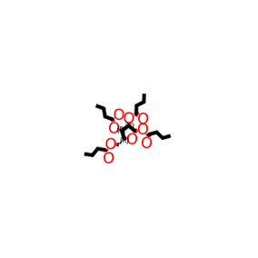 CCCC(=O)OC[C@H]1OC(OC(=O)CCC)[C@H](OC(=O)CCC)[C@@H]1OC(=O)CCC